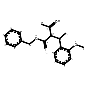 COc1ccccc1C(C)C(C(C)=O)C(=O)OCc1ccccc1